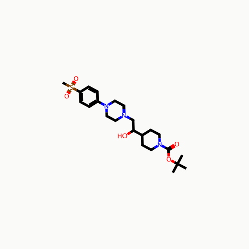 CC(C)(C)OC(=O)N1CCC(C(O)CN2CCN(c3ccc(S(C)(=O)=O)cc3)CC2)CC1